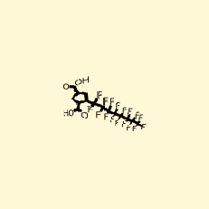 O=C(O)C1CC(C(=O)O)C(C(F)(F)C(F)(F)C(F)(F)C(F)(F)C(F)(F)C(F)(F)C(F)(F)C(F)(F)F)C1